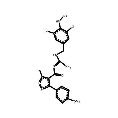 CCCNc1c(Cl)cc(CN/C(N)=N/C(=O)c2c(-c3ccc(OC)cc3)nsc2C)cc1Br